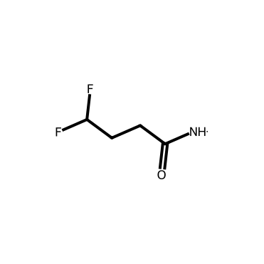 [NH]C(=O)CCC(F)F